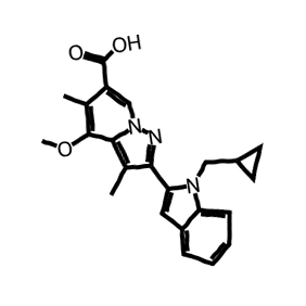 COc1c(C)c(C(=O)O)cn2nc(-c3cc4ccccc4n3CC3CC3)c(C)c12